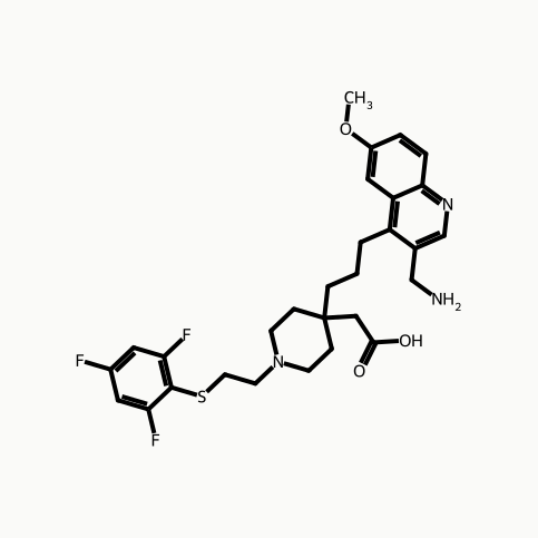 COc1ccc2ncc(CN)c(CCCC3(CC(=O)O)CCN(CCSc4c(F)cc(F)cc4F)CC3)c2c1